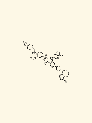 O=C(NS(=O)(=O)c1ccc(NCC2CCC3(CC2)COC3)c([N+](=O)[O-])c1)c1ccc(N2CCN([C@@H]3CCCCc4c(Br)cccc43)CC2)cc1Oc1cnc2[nH]ccc2c1